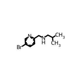 CC(C)CNCc1ccc(Br)cn1